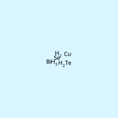 [BiH3].[Cu].[SeH2].[TeH2]